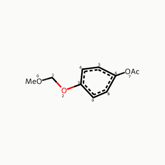 COCOc1ccc(OC(C)=O)cc1